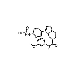 COc1cccc(N(C)C(=O)c2ccc3ncc(-c4ccc(NC(=O)O)nc4)n3c2)c1